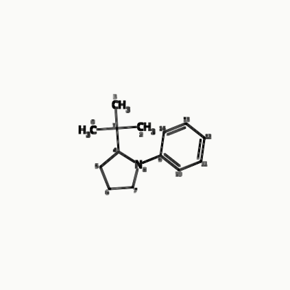 CC(C)(C)C1CCCN1c1ccccc1